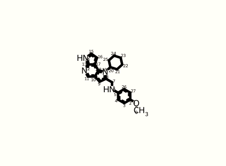 COc1ccc(NCc2cc3cnc4[nH]ccc4c3n2C2CCCCC2)cc1